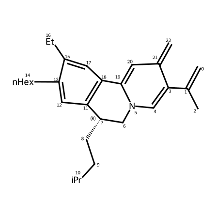 C=C(C)C1=CN2C[C@H](CCC(C)C)c3cc(CCCCCC)c(CC)cc3C2=CC1=C